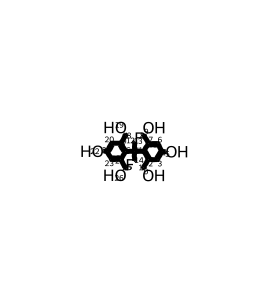 OCc1cc(O)cc(CO)c1C(CF)(CF)c1c(CO)cc(O)cc1CO